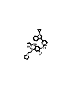 C=CC(O)Nc1cc(Nc2nccc(-c3cn(C4CC4)c4ccccc34)n2)c(OC)cc1N(C)CCN1CCCC1